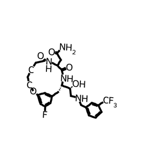 NC(=O)CC1NC(=O)CCCCOc2cc(F)cc(c2)C[C@@H]([C@H](O)CNCc2cccc(C(F)(F)F)c2)NC1=O